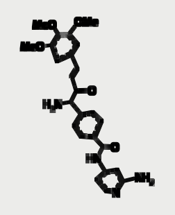 COc1cc(/C=C/C(=O)C(N)c2ccc(C(=O)Nc3ccnc(N)c3)cc2)cc(OC)c1OC